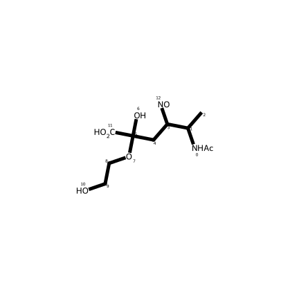 CC(=O)NC(C)C(CC(O)(OCCO)C(=O)O)N=O